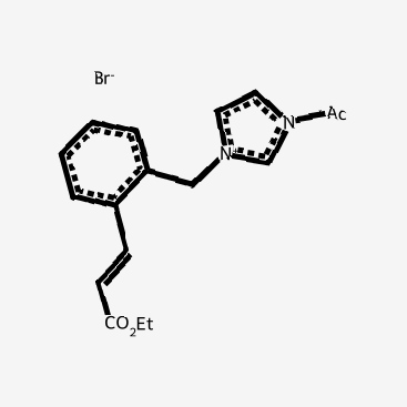 CCOC(=O)C=Cc1ccccc1C[n+]1ccn(C(C)=O)c1.[Br-]